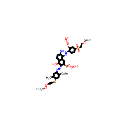 COc1cc(SC#COOS(=O)(=O)O)c(C)cc1N=Nc1c(SOOO)cc2c(N=Nc3ccc(S(=O)(=O)CCOS(=O)(=O)O)cc3SOOO)c(N)ccc2c1O